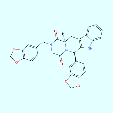 O=C1[C@H]2Cc3c([nH]c4ccccc34)[C@@H](c3ccc4c(c3)OCO4)N2C(=O)CN1Cc1ccc2c(c1)OCO2